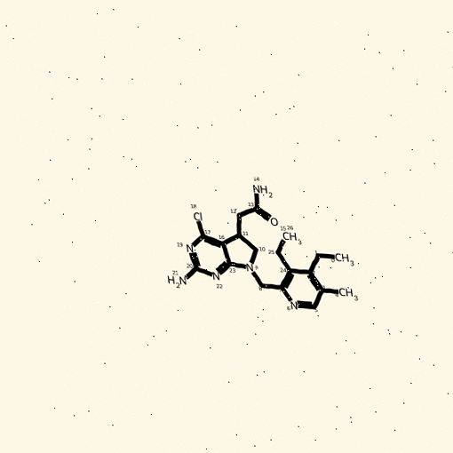 CCc1c(C)cnc(CN2CC(CC(N)=O)c3c(Cl)nc(N)nc32)c1CC